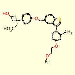 CCOCCOc1ccc(-c2csc3ccc(COc4ccc([C@]5(CC(=O)O)C[C@H](O)C5)cc4)cc23)c(C)c1